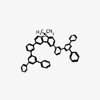 C[Si]1(C)c2ccc(-c3cccc(-c4cc(-c5ccccc5)cc(-c5ccccc5)c4)c3)cc2-c2cc(-c3cccc(-c4cc(-c5ccccc5)cc(-c5ccccc5)c4)c3)ccc21